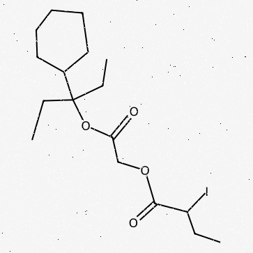 CCC(I)C(=O)OCC(=O)OC(CC)(CC)C1CCCCC1